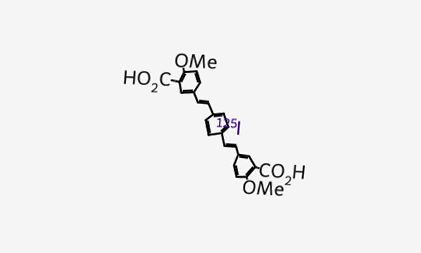 COc1ccc(/C=C/c2ccc(/C=C/c3ccc(OC)c(C(=O)O)c3)c([125I])c2)cc1C(=O)O